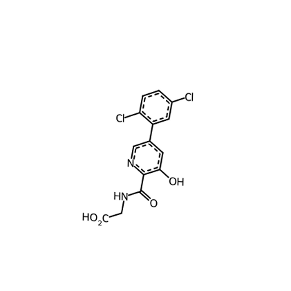 O=C(O)CNC(=O)c1ncc(-c2cc(Cl)ccc2Cl)cc1O